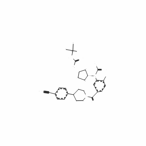 Cc1ccc(C(=O)N2CCC(c3ccc(C#N)cc3)CC2)cc1N(C(N)=O)[C@H]1CC[C@H](NC(=O)OC(C)(C)C)C1